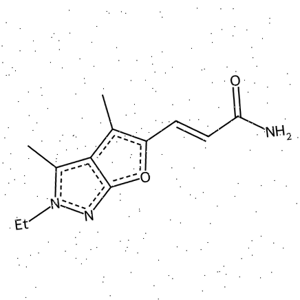 CCn1nc2oc(C=CC(N)=O)c(C)c2c1C